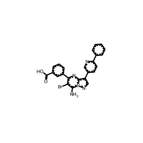 Nc1c(Br)c(-c2cccc(C(=O)O)c2)nc2c(-c3ccc(-c4ccccc4)nc3)cnn12